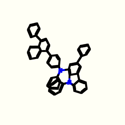 c1ccc(-c2cc(N(c3ccccc3)c3ccc(-c4ccc(-c5ccccc5)c5ccccc45)cc3)c3c(c2)c2ccccc2n3-c2ccccc2)cc1